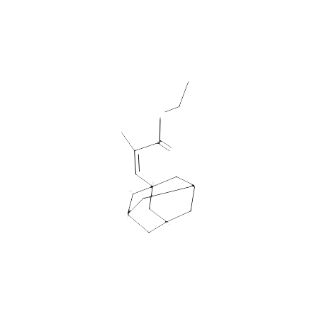 CCOC(=O)C(C)=CC12CC3CC(CC(C3)C1)C2